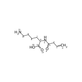 C=CCC(=O)NC(CCCCN)C(=O)O